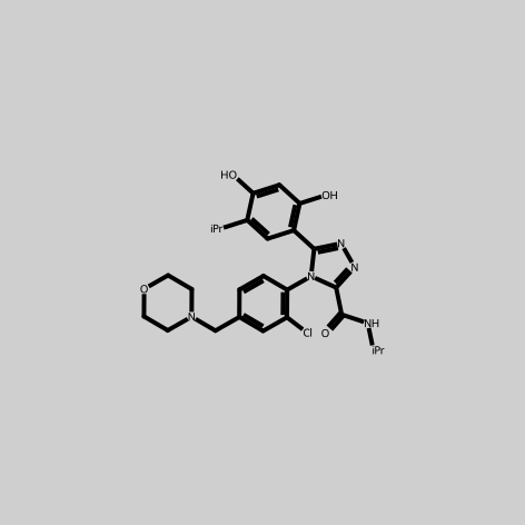 CC(C)NC(=O)c1nnc(-c2cc(C(C)C)c(O)cc2O)n1-c1ccc(CN2CCOCC2)cc1Cl